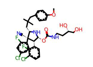 COc1ccc(CC(C)(C)C[C@@H]2N[C@H](OC(=O)NCC[C@H](O)CO)[C@H](c3cccc(Cl)c3F)[C@@]2(C#N)c2ccc(Cl)cc2F)cc1